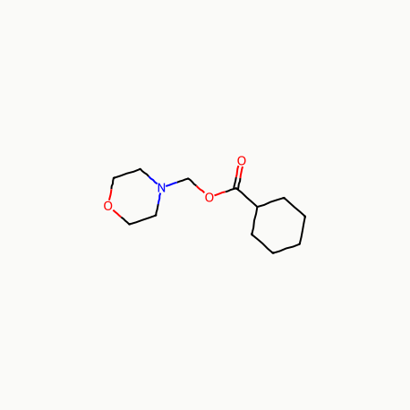 O=C(OCN1CCOCC1)C1CCCCC1